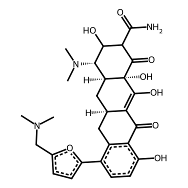 CN(C)Cc1ccc(-c2ccc(O)c3c2C[C@H]2C[C@H]4[C@H](N(C)C)C(O)C(C(N)=O)C(=O)[C@@]4(O)C(O)=C2C3=O)o1